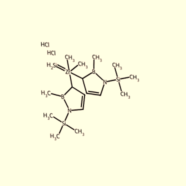 CB1[CH]([Zr]([CH3])([CH3])(=[SiH2])[CH]2C=CN([Si](C)(C)C)B2C)C=CN1[Si](C)(C)C.Cl.Cl